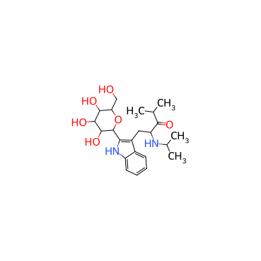 CC(C)NC(Cc1c(C2OC(CO)C(O)C(O)C2O)[nH]c2ccccc12)C(=O)C(C)C